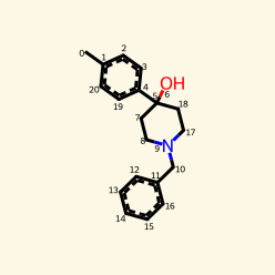 Cc1ccc(C2(O)CCN(Cc3ccccc3)CC2)cc1